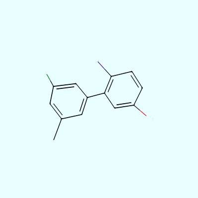 Cc1cc(Cl)cc(-c2cc(O)ccc2I)c1